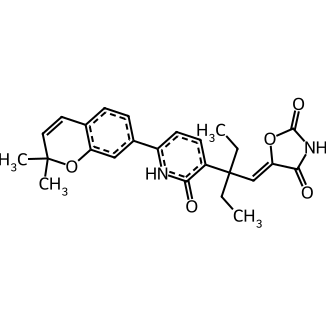 CCC(C=C1OC(=O)NC1=O)(CC)c1ccc(-c2ccc3c(c2)OC(C)(C)C=C3)[nH]c1=O